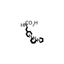 O=C(O)NCCC1CCN(c2cccc(N3CCCC3)n2)CC1